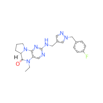 CCN1C(=O)[C@H]2CCCN2c2nc(NCc3cnn(Cc4ccc(F)cc4)c3)ncc21